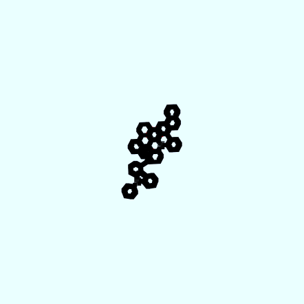 C1=CC2=C(c3cccc4c3c3ccccc3n4-c3ccccc3)[C@@H]2C=C1N(c1ccccc1-c1cccc2c1ccc1ccccc12)c1ccccc1-c1cccc2cccc(C3CCCCC3)c12